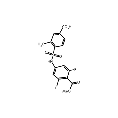 COC(=O)c1c(F)cc(NS(=O)(=O)c2ccc(C(=O)O)cc2C)cc1F